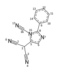 N#CC(C#N)c1cnc(-c2ccccc2)n1C#N